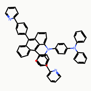 c1ccc(N(c2ccccc2)c2ccc(N(c3ccccc3)c3cccc4c(-c5ccc(-c6ccccn6)cc5)c5ccccc5c(-c5ccc(-c6ccccn6)cc5)c34)cc2)cc1